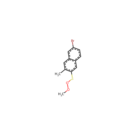 COOSc1cc2ccc(Br)cc2cc1C